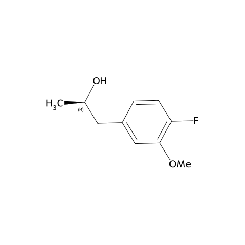 COc1cc(C[C@@H](C)O)ccc1F